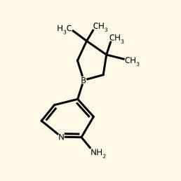 CC1(C)CB(c2ccnc(N)c2)CC1(C)C